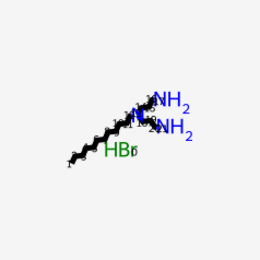 Br.CCCCCCCCCCCCN(CCCN)CCCN